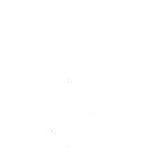 Cc1[nH]c(/C=C2/C(=O)NN=C2c2cccs2)c(C)c1CCC(=O)O